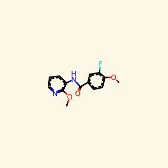 COc1ccc(C(=O)Nc2cccnc2OC)cc1F